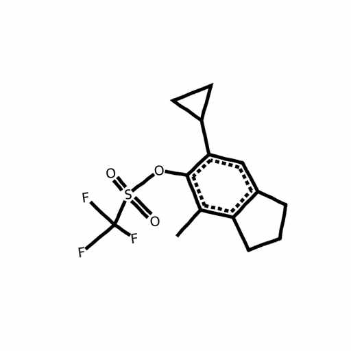 Cc1c2c(cc(C3CC3)c1OS(=O)(=O)C(F)(F)F)CCC2